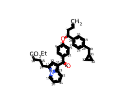 C=CCC(Oc1ccc(C(=O)c2cc(CCCC(=O)OCC)n3ccccc23)cc1)c1ccc(CC2CC2)cc1